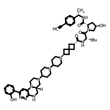 C#Cc1ccc([C@H](C)NC(=O)[C@@H]2C[C@@H](O)CN2C(=O)[C@@H](NC(=O)[C@H]2CC3(C2)C[C@H](N2CCC(N4CCC(N5CCN6c7cc(-c8ccccc8O)nnc7NC[C@H]6C5)CC4)CC2)C3)C(C)(C)C)cc1